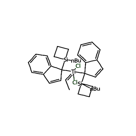 C[CH]=[Ti]([Cl])([Cl])([C]1([Si]2(CCCC)CCC2)C=Cc2ccccc21)[C]1([Si]2(CCCC)CCC2)C=Cc2ccccc21